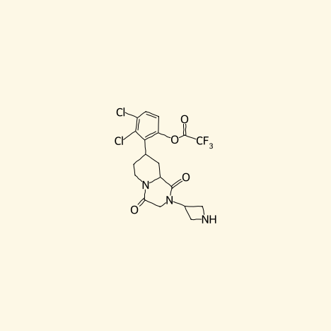 O=C1C2CC(c3c(OC(=O)C(F)(F)F)ccc(Cl)c3Cl)CCN2C(=O)CN1C1CNC1